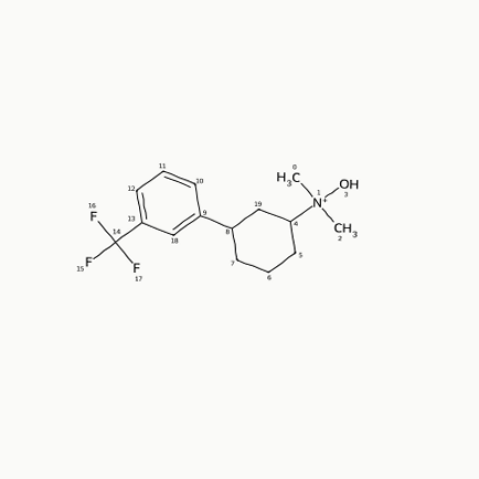 C[N+](C)(O)C1CCCC(c2cccc(C(F)(F)F)c2)C1